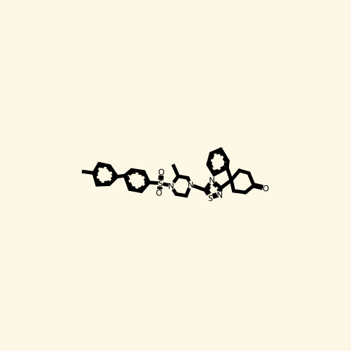 Cc1ccc(-c2ccc(S(=O)(=O)N3CCN(c4nc(C5(c6ccccc6)CCC(=O)CC5)ns4)CC3C)cc2)cc1